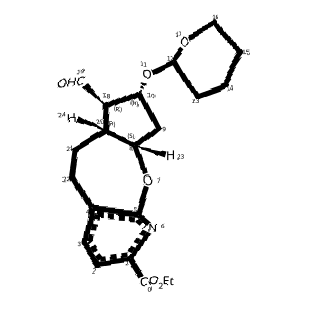 CCOC(=O)c1ccc2c(n1)O[C@H]1C[C@@H](OC3CCCCO3)[C@H](C=O)[C@H]1CC2